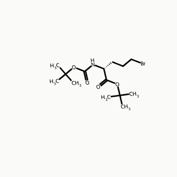 CC(C)(C)OC(=O)N[C@H](CCCBr)C(=O)OC(C)(C)C